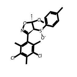 CO[C@]1(C)ON=C(c2c(C)c(Cl)c(C)c(Cl)c2C)[C@@H]1[S@@+]([O-])c1ccc(C)cc1